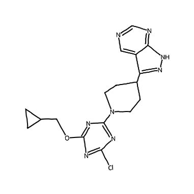 Clc1nc(OCC2CC2)nc(N2CCC(c3n[nH]c4ncncc34)CC2)n1